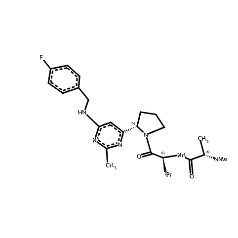 CN[C@@H](C)C(=O)N[C@H](C(=O)N1CCC[C@H]1c1cc(NCc2ccc(F)cc2)nc(C)n1)C(C)C